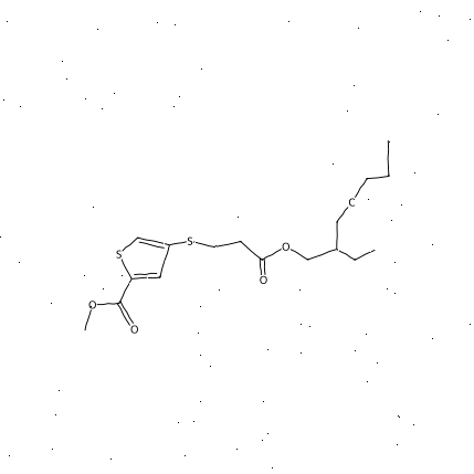 CCCCCC(CC)COC(=O)CCSc1csc(C(=O)OC)c1